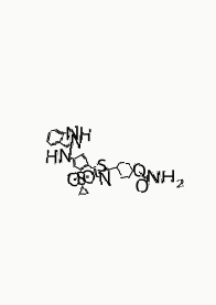 NC(=O)OC1CCC(c2ncc(-c3ccc(Nc4n[nH]c5ccccc45)cc3S(=O)(=O)C3CC3)s2)CC1